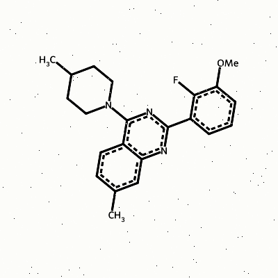 COc1cccc(-c2nc(N3CCC(C)CC3)c3ccc(C)cc3n2)c1F